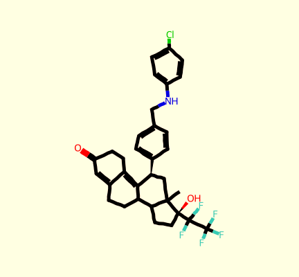 CC12C[C@H](c3ccc(CNc4ccc(Cl)cc4)cc3)C3=C4CCC(=O)C=C4CCC3C1CC[C@@]2(O)C(F)(F)C(F)(F)F